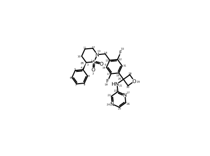 O=S1(=O)[C@@H](c2ccccc2)CCCN1Cc1cc(F)c(C2(Nc3cnccn3)COC2)cc1F